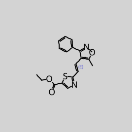 CCOC(=O)c1cnc(/C=C/c2c(-c3ccccc3)noc2C)s1